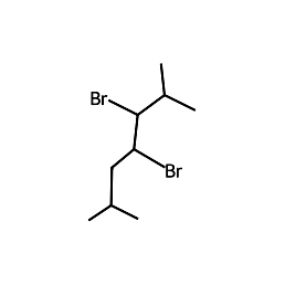 CC(C)CC(Br)C(Br)C(C)C